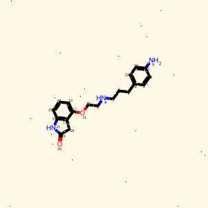 Nc1ccc(CCCNCCOc2cccc3c2CC(=O)N3)cc1